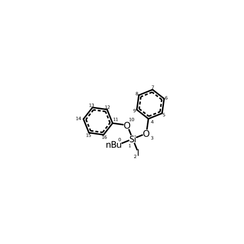 CCCC[Si](I)(Oc1ccccc1)Oc1ccccc1